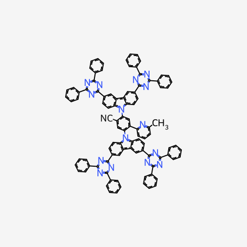 Cc1cccc(-c2cc(-n3c4ccc(-c5nc(-c6ccccc6)nc(-c6ccccc6)n5)cc4c4cc(-c5nc(-c6ccccc6)nc(-c6ccccc6)n5)ccc43)c(C#N)cc2-n2c3ccc(-c4nc(-c5ccccc5)nc(-c5ccccc5)n4)cc3c3cc(-c4nc(-c5ccccc5)nc(-c5ccccc5)n4)ccc32)n1